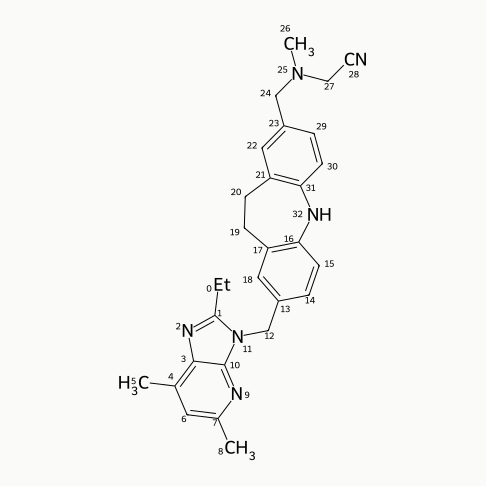 CCc1nc2c(C)cc(C)nc2n1Cc1ccc2c(c1)CCc1cc(CN(C)CC#N)ccc1N2